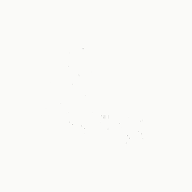 Fc1c(Cl)c(-c2ccccc2)cc2c(NCc3cc[nH]n3)n[nH]c12